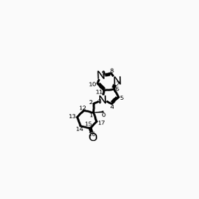 C[C@]1(Cn2ccc3ncncc32)CCCC(=O)C1